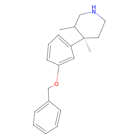 CC1CNCC[C@@]1(C)c1cccc(OCc2ccccc2)c1